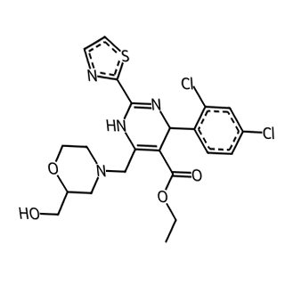 CCOC(=O)C1=C(CN2CCOC(CO)C2)NC(c2nccs2)=NC1c1ccc(Cl)cc1Cl